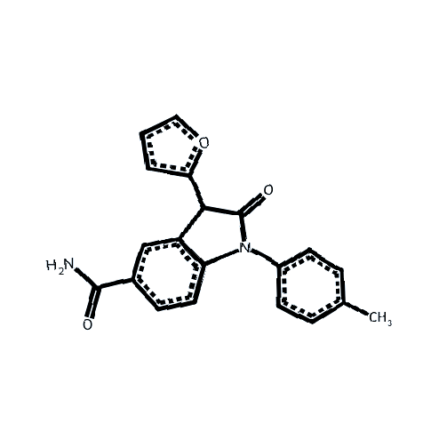 Cc1ccc(N2C(=O)C(c3ccco3)c3cc(C(N)=O)ccc32)cc1